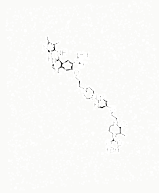 Cc1n[nH]c(Nc2ncnc3cc(OCCCN4CCN(c5ncc(OCCN6CCN(C(=O)OC(C)(C)C)C(C)C6=O)cn5)CC4)c([S+]([O-])C(C)(C)C)cc23)c1C